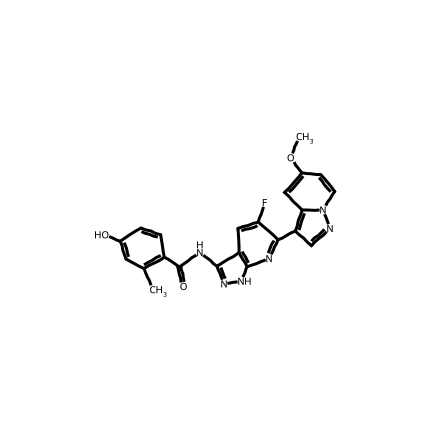 COc1ccn2ncc(-c3nc4[nH]nc(NC(=O)c5ccc(O)cc5C)c4cc3F)c2c1